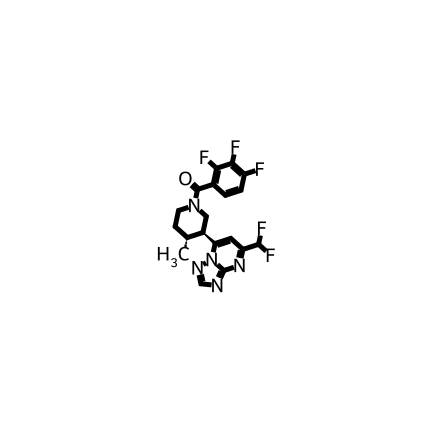 C[C@@H]1CCN(C(=O)c2ccc(F)c(F)c2F)C[C@H]1c1cc(C(F)F)nc2ncnn12